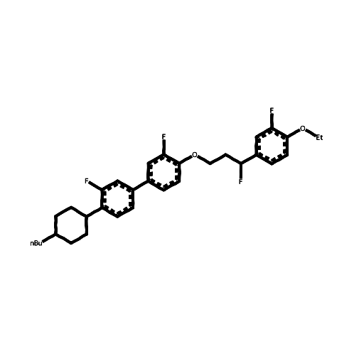 CCCCC1CCC(c2ccc(-c3ccc(OCCC(F)c4ccc(OCC)c(F)c4)c(F)c3)cc2F)CC1